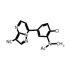 CC(=O)N(C)c1cc(-c2ccnc3c(C#N)cnn23)ccc1Cl